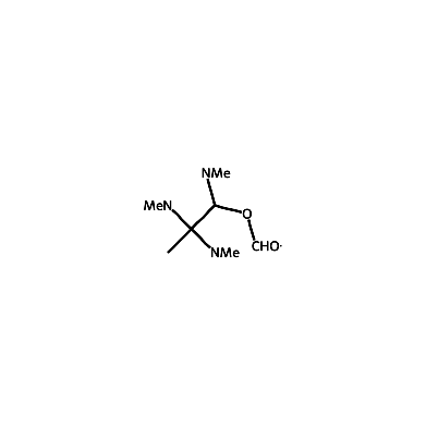 CNC(O[C]=O)C(C)(NC)NC